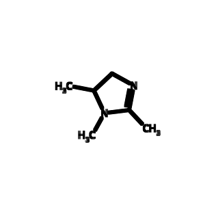 CC1=NCC(C)N1C